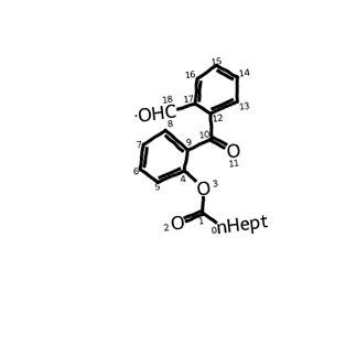 CCCCCCCC(=O)Oc1ccccc1C(=O)c1ccccc1[C]=O